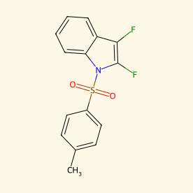 Cc1ccc(S(=O)(=O)n2c(F)c(F)c3ccccc32)cc1